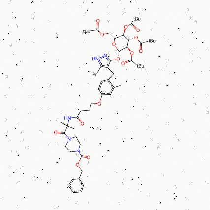 Cc1cc(OCCCC(=O)NC(C)(C)C(=O)N2CCN(C(=O)OCc3ccccc3)CC2)ccc1Cc1c(O[C@@H]2O[C@H](COC(=O)C(C)(C)C)[C@@H](OC(=O)C(C)(C)C)[C@H](OC(=O)C(C)(C)C)[C@H]2OC(=O)C(C)(C)C)n[nH]c1C(C)C